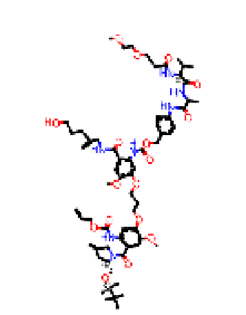 C=CCOC(=O)Nc1cc(OCCCOc2cc(NC(=O)OCc3ccc(NC(=O)C(C)NC(=O)[C@@H](NC(=O)CCOCCOC)C(C)C)cc3)c(C(=O)NCC(=C)CCCO)cc2OC)c(OC)cc1C(=O)N1CC(=C)C[C@H]1CO[Si](C)(C)C(C)(C)C